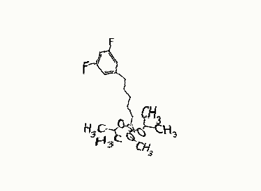 CO[Si](CCCCCc1cc(F)cc(F)c1)(OC(C)C)OC(C)C